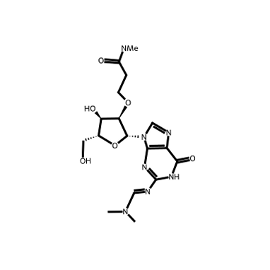 CNC(=O)CCO[C@@H]1[C@H](O)[C@@H](CO)O[C@H]1n1cnc2c(=O)[nH]c(N=CN(C)C)nc21